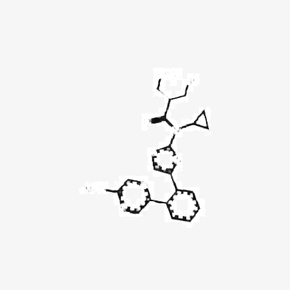 COc1cnc(-c2ccccc2-c2csc(N(C(=O)[C@@H](CC(=O)O)CC(C)C)C3CC3)n2)cn1